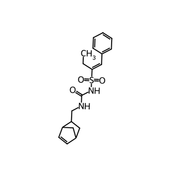 CCC(=Cc1ccccc1)S(=O)(=O)NC(=O)NCC1CC2C=CC1C2